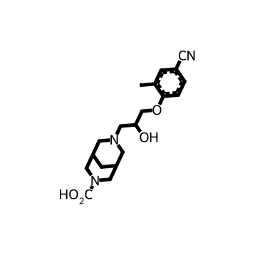 Cc1cc(C#N)ccc1OCC(O)CN1CC2CC(C1)CN(C(=O)O)C2